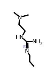 CCC/N=C(\N)NCCN(C)C